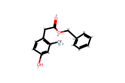 O=C(Cc1ccc(O)cc1C(F)(F)F)OCc1ccccc1